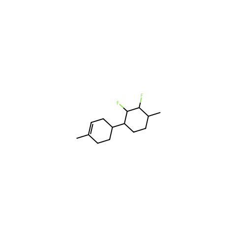 CC1=CCC(C2CCC(C)C(F)C2F)CC1